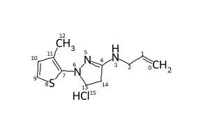 C=CCNC1=NN(c2sccc2C)CC1.Cl